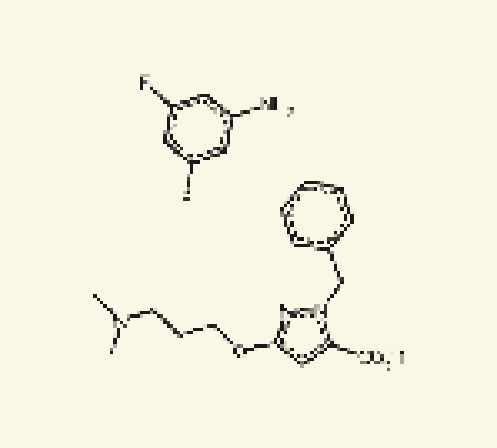 CN(C)CCCOc1cc(C(=O)O)n(Cc2ccccc2)n1.Nc1cc(F)cc(F)c1